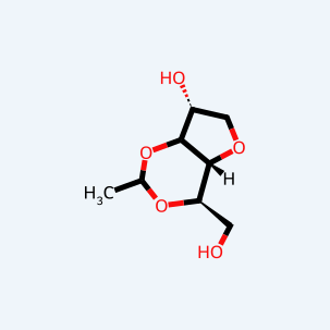 CC1OC2[C@H](O)CO[C@@H]2[C@@H](CO)O1